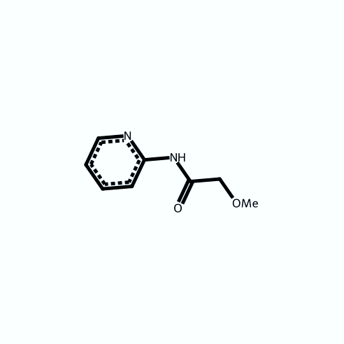 COCC(=O)Nc1ccccn1